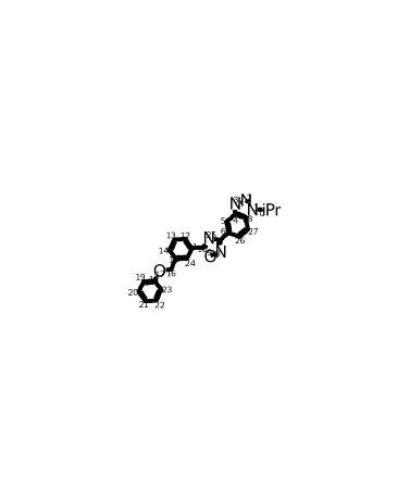 CC(C)n1nnc2cc(-c3noc(-c4cccc(COc5ccccc5)c4)n3)ccc21